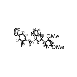 COc1ncc(-c2cc([C@H]3C[C@@H]3c3ccc(OC(F)(F)F)cc3F)c3nccn3n2)c(OC)n1